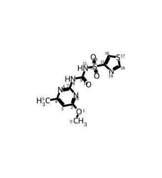 COc1cc(C)nc(NC(=O)NS(=O)(=O)c2cscn2)n1